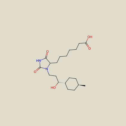 C[C@H]1CC[C@H](C(O)CCN2C(=O)NC(=O)C2CCCCCCC(=O)O)CC1